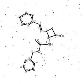 O=C(NN1C(=O)CC1/C=C/c1ccccc1)OCc1ccccc1